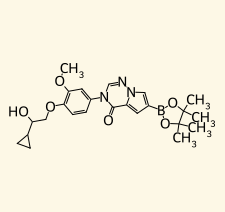 COc1cc(-n2cnn3cc(B4OC(C)(C)C(C)(C)O4)cc3c2=O)ccc1OCC(O)C1CC1